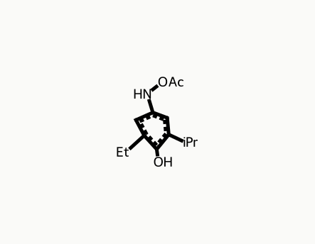 CCc1cc(NOC(C)=O)cc(C(C)C)c1O